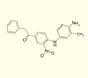 Cc1cc(Nc2ccc(C(=O)Cc3ccccc3)cc2[N+](=O)[O-])ccc1N